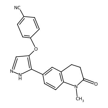 CN1C(=O)CCc2cc(-c3[nH]ncc3Oc3ccc(C#N)cc3)ccc21